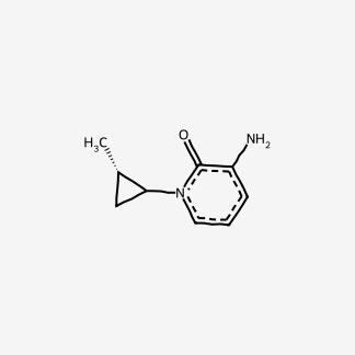 C[C@H]1CC1n1cccc(N)c1=O